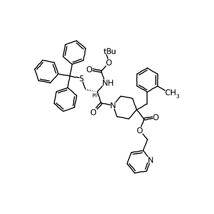 Cc1ccccc1CC1(C(=O)OCc2ccccn2)CCN(C(=O)[C@H](CSC(c2ccccc2)(c2ccccc2)c2ccccc2)NC(=O)OC(C)(C)C)CC1